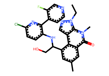 CCn1ncc2c3c(C(CO)Nc4ccc(Cl)nc4-c4ccncc4F)cc(C)cc3c(=O)n(C)c21